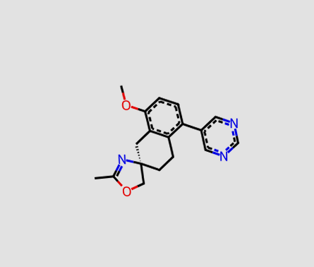 COc1ccc(-c2cncnc2)c2c1C[C@]1(CC2)COC(C)=N1